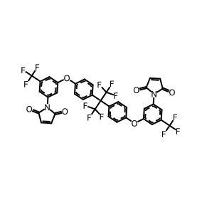 O=C1C=CC(=O)N1c1cc(Oc2ccc(C(c3ccc(Oc4cc(N5C(=O)C=CC5=O)cc(C(F)(F)F)c4)cc3)(C(F)(F)F)C(F)(F)F)cc2)cc(C(F)(F)F)c1